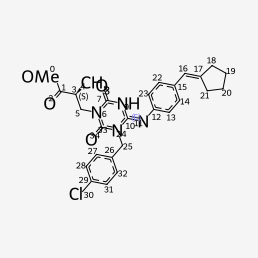 COC(=O)[C@@H](C)Cn1c(=O)[nH]/c(=N\c2ccc(C=C3CCCC3)cc2)n(Cc2ccc(Cl)cc2)c1=O